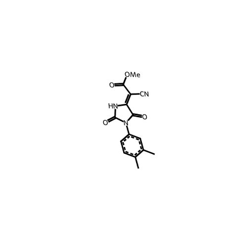 COC(=O)C(C#N)=C1NC(=O)N(c2ccc(C)c(C)c2)C1=O